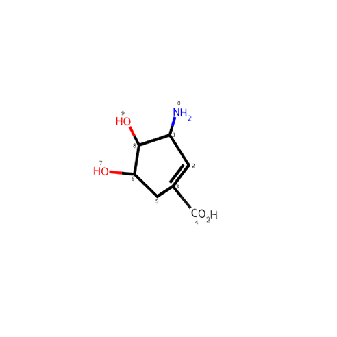 NC1C=C(C(=O)O)CC(O)C1O